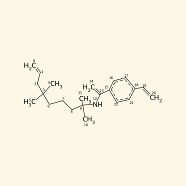 C=CCC(C)(C)CCCC(C)(C)NC(=C)c1ccc(C=C)cc1